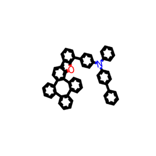 c1ccc(-c2ccc(N(c3ccccc3)c3ccc(-c4cccc5c4oc4c6c(ccc45)-c4ccccc4-c4ccccc4-c4ccccc4-6)cc3)cc2)cc1